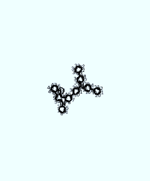 C1=CCC(n2c3ccc(-c4ccc(N(c5ccc(-c6ccccc6)cc5)c5ccc(-c6ccccc6)cc5)cc4)cc3c3c4oc5ccccc5c4ccc32)C=C1